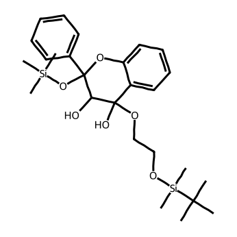 CC(C)(C)[Si](C)(C)OCCOC1(O)c2ccccc2OC(O[Si](C)(C)C)(c2ccccc2)C1O